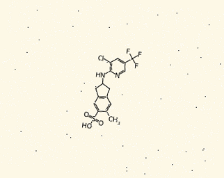 Cc1cc2c(cc1S(=O)(=O)O)CC(Nc1ncc(C(F)(F)F)cc1Cl)C2